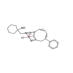 O=NC1(CNCc2c3nc(Cl)nc2C/C(c2ccccc2)=C\C=C/3)CCCCC1